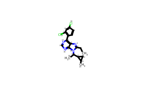 CCc1nc2c(-c3ccc(Cl)cc3Cl)ncnc2n1C(C)C1CC1C